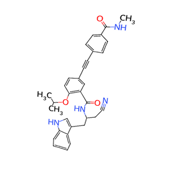 CNC(=O)c1ccc(C#Cc2ccc(OC(C)C)c(C(=O)NC(CC#N)Cc3c[nH]c4ccccc34)c2)cc1